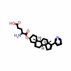 C[C@]12CC[C@H](OC(=O)C(N)CCC(=O)O)CC1=CC[C@@H]1[C@@H]2CC[C@]2(C)C(c3cccnc3)=CC[C@@H]12